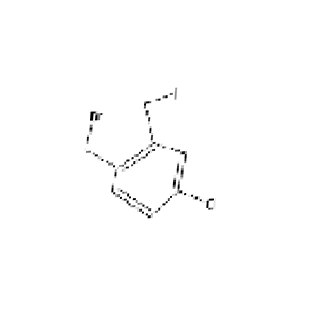 Clc1ccc(CBr)c(CI)c1